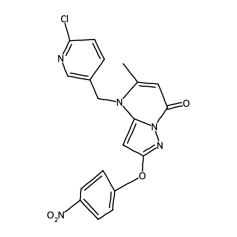 Cc1cc(=O)n2nc(Oc3ccc([N+](=O)[O-])cc3)cc2n1Cc1ccc(Cl)nc1